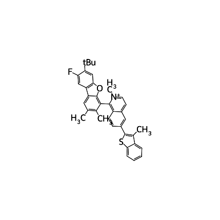 Cc1cc2c(oc3cc(C(C)(C)C)c(F)cc32)c(-c2c3ccc(-c4sc5ccccc5c4C)cc3cc[n+]2C)c1C